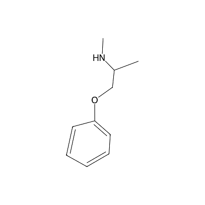 CNC(C)COc1ccccc1